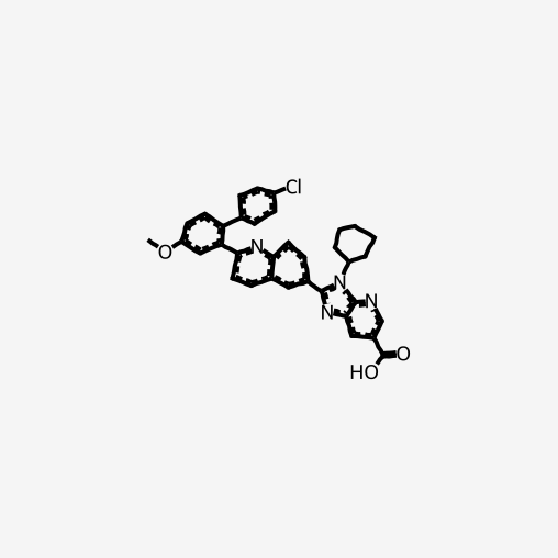 COc1ccc(-c2ccc(Cl)cc2)c(-c2ccc3cc(-c4nc5cc(C(=O)O)cnc5n4C4CCCCC4)ccc3n2)c1